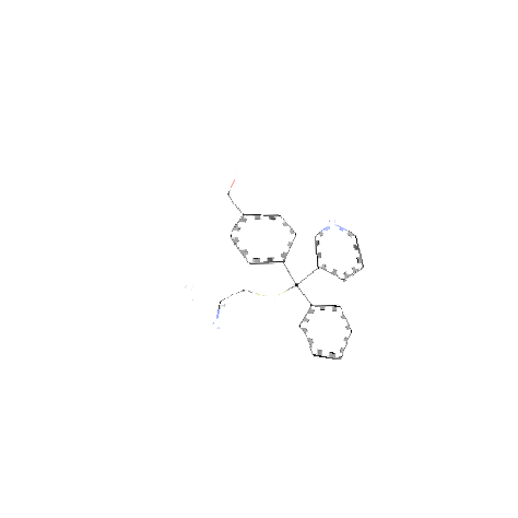 N[C@@H](CSC(c1ccccc1)(c1ccc(CO)cc1)c1cccnc1)C(=O)O